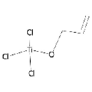 C=CC[O][Ti]([Cl])([Cl])[Cl]